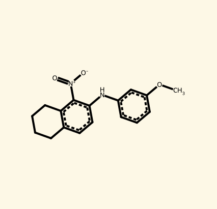 COc1cccc(Nc2ccc3c(c2[N+](=O)[O-])CCCC3)c1